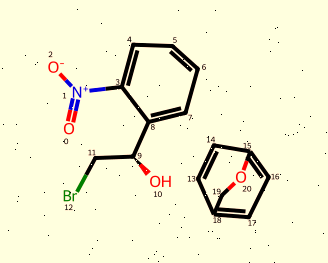 O=[N+]([O-])c1ccccc1[C@@H](O)CBr.c1cc2ccc1CO2